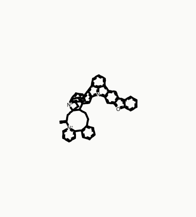 C=C1CC23Cc4cccc([n+]42)-c2cc4c5cccc6c7cc8c(cc7n(c4cc2C3CCc2ccccc2-c2cccc[n+]21)c56)oc1ccccc18